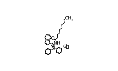 CCCCCCCCCC(=O)[NH][Zr+2]([CH]1C=Cc2ccccc21)[SiH](c1ccccc1)c1ccccc1.[Cl-].[Cl-]